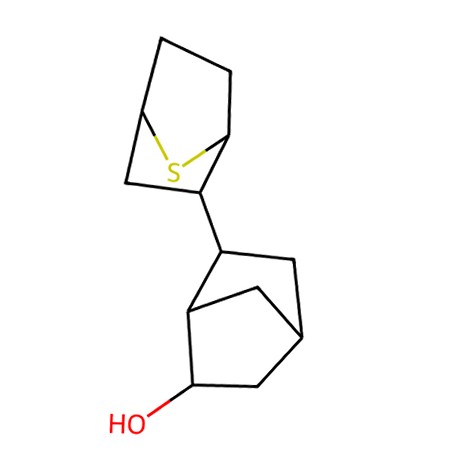 OC1CC2CC1C(C1CC3CCC1S3)C2